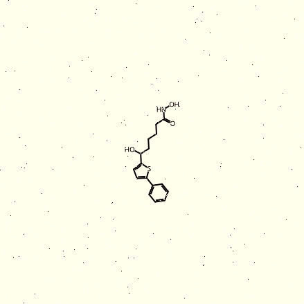 O=C(CCCCC(O)c1ccc(-c2ccccc2)s1)NO